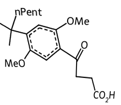 CCCCCC(C)(C)c1cc(OC)c(C(=O)CCC(=O)O)cc1OC